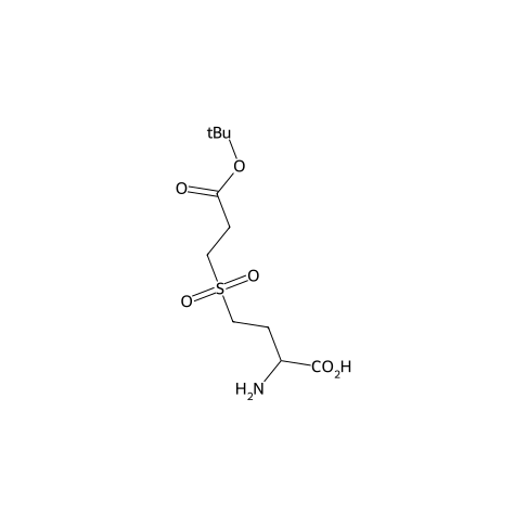 CC(C)(C)OC(=O)CCS(=O)(=O)CCC(N)C(=O)O